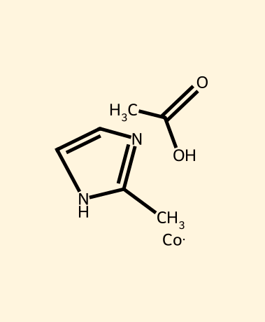 CC(=O)O.Cc1ncc[nH]1.[Co]